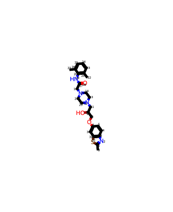 Cc1nc2ccc(OCC(O)CN3CCN(CC(=O)Nc4c(C)cccc4C)CC3)cc2s1